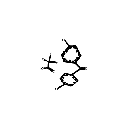 O=C(O)C(F)(F)F.O=C(c1ccc(Cl)cc1)c1ccc(Cl)cc1